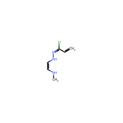 C=C/C(Cl)=N\N/C=C\NC